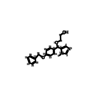 Cn1cncc1C(OCCO)c1ccc(OCc2ccccc2)cc1